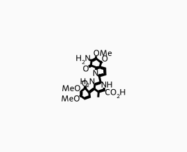 COC1=C(OC)C(=O)C(=C2C(C)=C(C(=O)O)NC(c3ccc4c(n3)C(=O)C(N)=C(OC)C4=O)=C2N)C=C1